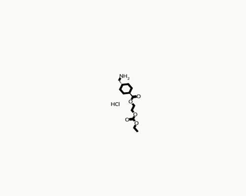 CCOC(=O)OCCOC(=O)[C@H]1CC[C@H](CN)CC1.Cl